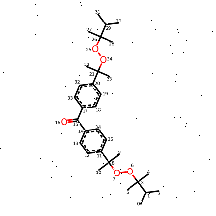 CC(C)C(C)(C)OOC(C)(C)c1ccc(C(=O)c2ccc(C(C)(C)OOC(C)(C)C(C)C)cc2)cc1